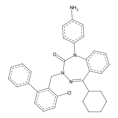 Nc1ccc(N2C(=O)N(Cc3c(Cl)cccc3-c3ccccc3)N=C(C3CCCCC3)c3ccccc32)cc1